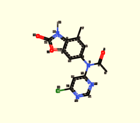 CC(=O)N(c1cc(C)c2c(c1)oc(=O)n2C)c1cc(Cl)ncn1